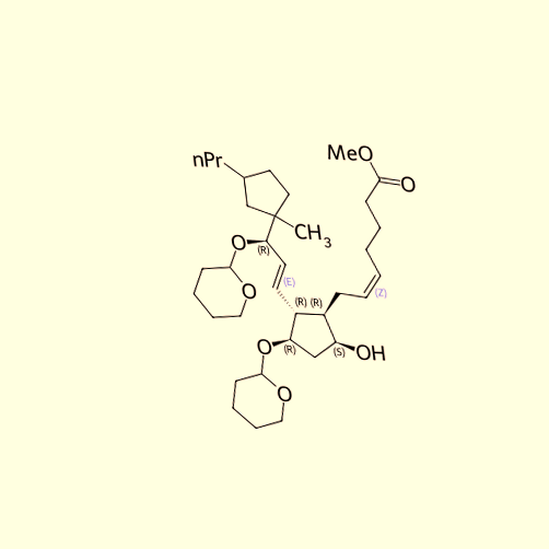 CCCC1CCC(C)([C@@H](/C=C/[C@@H]2[C@@H](C/C=C\CCCC(=O)OC)[C@@H](O)C[C@H]2OC2CCCCO2)OC2CCCCO2)C1